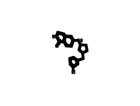 O=c1[nH]ccc2cc(NC3CCN(Cc4cccc(Cl)c4)C3)ccc12